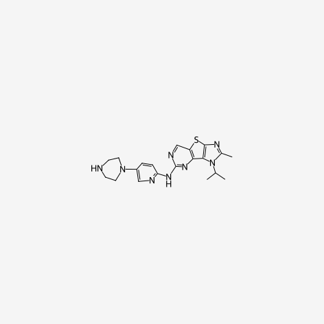 Cc1nc2sc3cnc(Nc4ccc(N5CCNCC5)cn4)nc3c2n1C(C)C